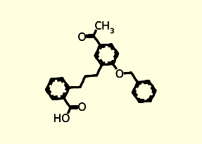 CC(=O)c1ccc(OCc2ccccc2)c(CCCc2ccccc2C(=O)O)c1